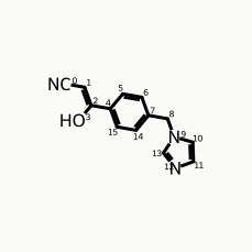 N#CC=C(O)c1ccc(Cn2ccnc2)cc1